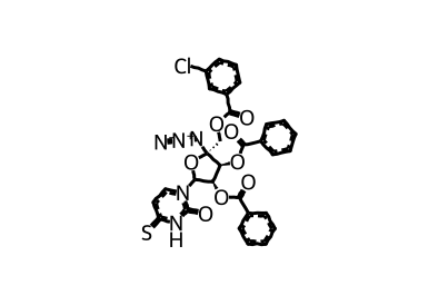 [N-]=[N+]=N[C@]1(COC(=O)c2cccc(Cl)c2)OC(n2ccc(=S)[nH]c2=O)[C@H](OC(=O)c2ccccc2)[C@@H]1OC(=O)c1ccccc1